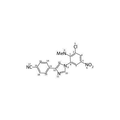 CNc1c(Cl)cc([N+](=O)[O-])cc1-n1cnc(-c2ccc(C#N)cc2)c1